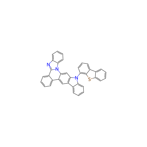 c1ccc2c(c1)nc1c3ccccc3c3cc4c5ccccc5n(-c5cccc6c5sc5ccccc56)c4cc3n21